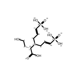 O=C(O)[C@H](CCO)N(CC=CP(=O)(O)O)CC=CP(=O)(O)O